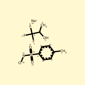 CC(O)C(F)(F)F.Cc1ccc(S(=O)(=O)[N-]Cl)cc1.[Na+]